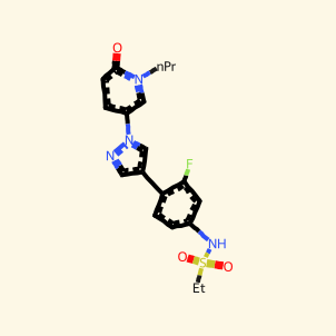 CCCn1cc(-n2cc(-c3ccc(NS(=O)(=O)CC)cc3F)cn2)ccc1=O